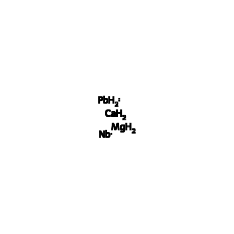 [CaH2].[MgH2].[Nb].[PbH2]